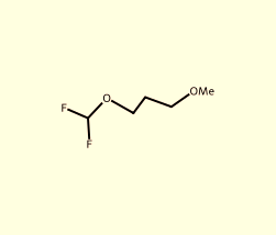 COCCCOC(F)F